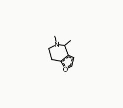 CC1c2ccoc2CCN1C